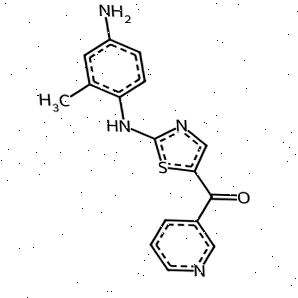 Cc1cc(N)ccc1Nc1ncc(C(=O)c2cccnc2)s1